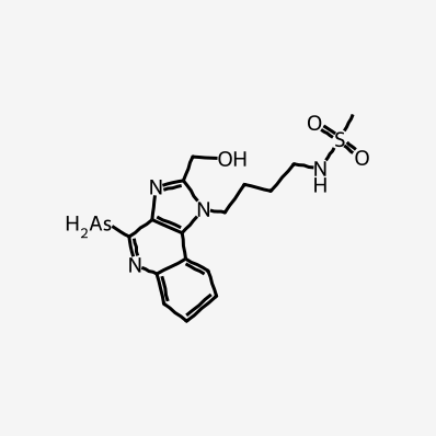 CS(=O)(=O)NCCCCn1c(CO)nc2c([AsH2])nc3ccccc3c21